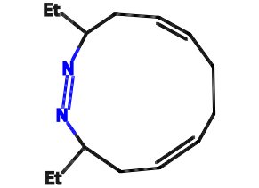 CCC1CC=CCCC=CCC(CC)N=N1